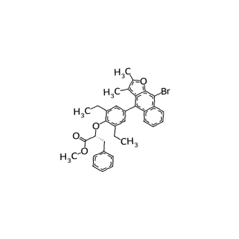 CCc1cc(-c2c3ccccc3c(Br)c3oc(C)c(C)c23)cc(CC)c1O[C@H](Cc1ccccc1)C(=O)OC